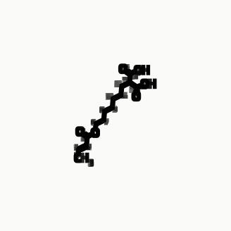 CC=CC(=O)OCCCCCCCC(C(=O)O)C(=O)O